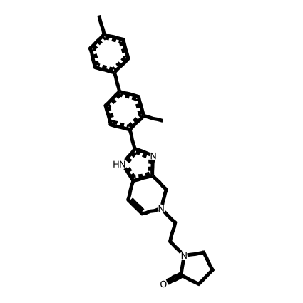 Cc1ccc(-c2ccc(-c3nc4c([nH]3)C=CN(CCN3CCCC3=O)C4)c(C)c2)cc1